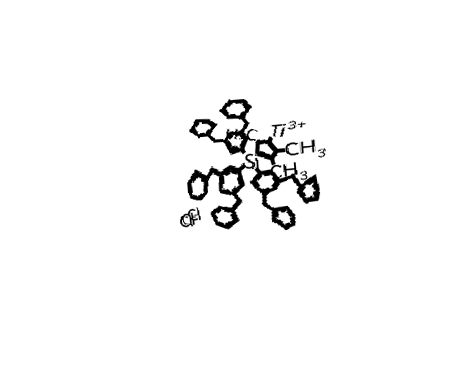 CC1=[C]([Ti+3])C(C)C([Si](c2cc(Cc3ccccc3)cc(Cc3ccccc3)c2)(c2cc(Cc3ccccc3)cc(Cc3ccccc3)c2)c2cc(Cc3ccccc3)cc(Cc3ccccc3)c2)=C1C.[Cl-].[Cl-].[Cl-]